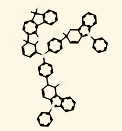 CC1c2c(n(-c3ccccc3)c3ccccc23)C=CC1c1ccc(N(C2=CC=CC3(C)c4ccc5c(c4SC23)-c2ccccc2C5(C)C)c2ccc(C3(C)C=Cc4c(c5ccccc5n4-c4ccccc4)C3)cc2)cc1